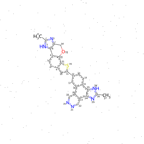 Cc1nc2c([nH]1)-c1ccc3cc(-c4ccc5c(c4)c4cnncc4c4nc(C)[nH]c54)sc3c1OC2